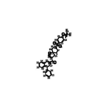 O=C(C1=NOC2(CCN(S(=O)(=O)c3ccc(OC(F)(F)F)cc3)CC2)C1)N(CCc1ccccc1)Cc1ccccc1